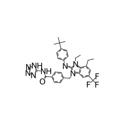 CCc1cc(C(F)(F)F)cc2c1n(CC)c(=Nc1ccc(C(C)(C)C)cc1)n2Cc1ccc(C(=O)Nc2nnn[nH]2)cc1